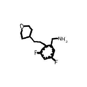 NCc1cc(F)cc(F)c1CCC1CCOCC1